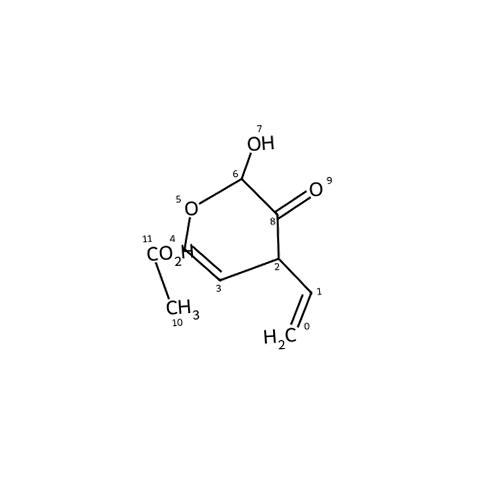 C=CC1C=COC(O)C1=O.CC(=O)O